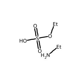 CCN.CCOS(=O)(=O)O